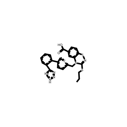 CCCSC1=NSc2ccc(C(=O)O)cc2N1Cc1ccc(-c2ccccc2-c2nn[nH]n2)cc1